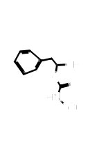 CCCNC(=O)OC(C)Cc1ccccc1